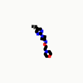 Bc1cnc(N2CC(=NOCCN3CCOCC3)C2)nc1